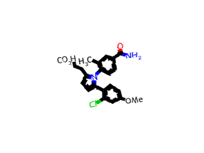 COc1ccc(-c2ccc(CCC(=O)O)n2-c2ccc(C(N)=O)cc2C)c(Cl)c1